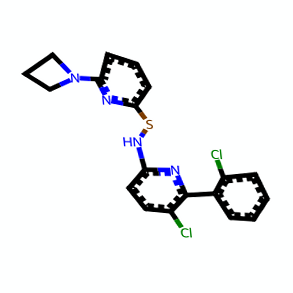 Clc1ccccc1-c1nc(NSc2cccc(N3CCC3)n2)ccc1Cl